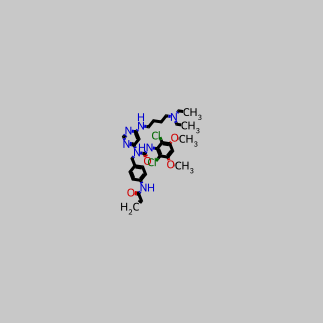 C=CC(=O)Nc1ccc(CN(C(=O)Nc2c(Cl)c(OC)cc(OC)c2Cl)c2cc(NCCCCN(CC)CC)ncn2)cc1